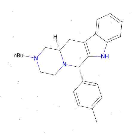 CCCCN1CCN2[C@H](Cc3c([nH]c4ccccc34)[C@@H]2c2ccc(C)cc2)C1